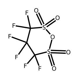 O=S1(=O)OS(=O)(=O)C(F)(F)C(F)(F)C1(F)F